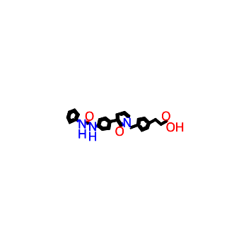 O=C(O)CCc1ccc(Cn2cccc(-c3ccc(NC(=O)Nc4ccccc4)cc3)c2=O)cc1